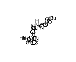 Cc1c(N2CCc3cnc(Nc4cnc5c(c4)CN(C(=O)OC(C)(C)C)CC5)nc3C2)cnc2c1N(C(=O)OC(C)(C)C)CCO2